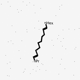 [CH2]CCC=CCCCCCCC=CCCCCCC